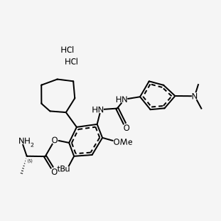 COc1cc(C(C)(C)C)c(OC(=O)[C@H](C)N)c(C2CCCCCC2)c1NC(=O)Nc1ccc(N(C)C)cc1.Cl.Cl